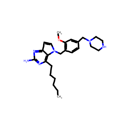 CCCCCCc1nc(N)nc2ccn(Cc3ccc(CN4CCNCC4)cc3OC)c12